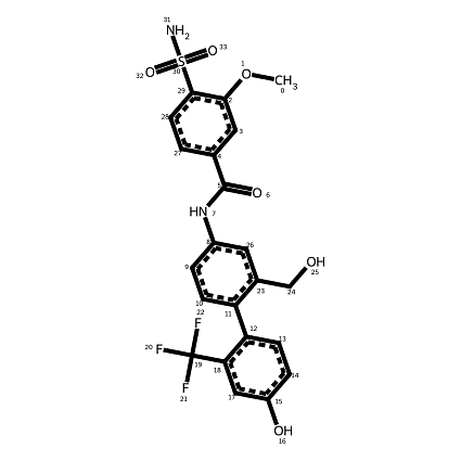 COc1cc(C(=O)Nc2ccc(-c3ccc(O)cc3C(F)(F)F)c(CO)c2)ccc1S(N)(=O)=O